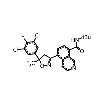 CC(C)(C)NC(=O)c1ccc(C2=NOC(c3cc(Cl)c(F)c(Cl)c3)(C(F)(F)F)C2)c2ccncc12